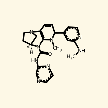 CNc1cc(C2C=CC3=C(N2C)N(C(=O)Nc2cnccn2)[C@H]2CCN3C2)ccn1